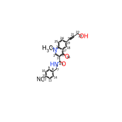 Cn1cc(C(=O)NCc2ccc(C#N)cc2)c(=O)c2cc(C#CCO)ccc21